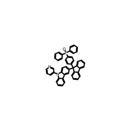 O=P(c1ccccc1)(c1ccccc1)c1ccc(C2(c3ccc4c(c3)c3ccccc3n4-c3cccnc3)c3ccccc3-c3ccccc32)cc1